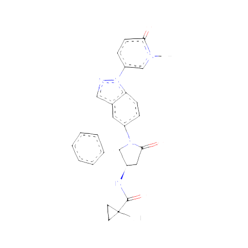 Cn1cc(-n2ncc3cc(N4C(=O)C[C@@H](NC(=O)C5(C)CC5)[C@@H]4c4ccccc4)ccc32)ccc1=O